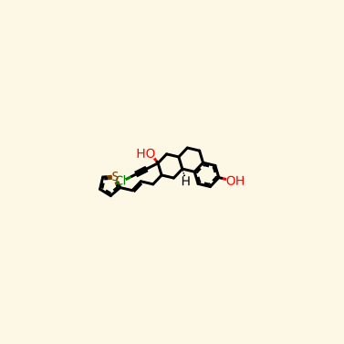 Oc1ccc2c(c1)CCC1CC(O)(C#CCl)C(CC=Cc3cccs3)C[C@H]21